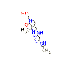 Cc1cnn(-c2cc(Nc3cc4ccn(CCO)c(=O)c4c(C)n3)ncn2)c1